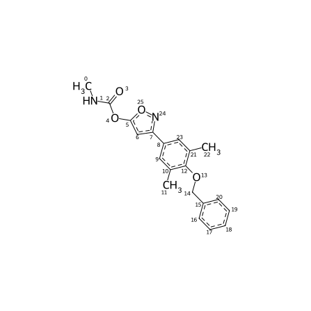 CNC(=O)Oc1cc(-c2cc(C)c(OCc3ccccc3)c(C)c2)no1